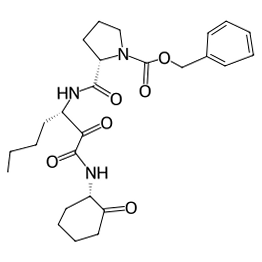 CCCC[C@H](NC(=O)[C@@H]1CCCN1C(=O)OCc1ccccc1)C(=O)C(=O)N[C@H]1CCCCC1=O